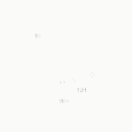 Cc1c(Br)cccc1S(=O)(=O)NC(C)(C)C